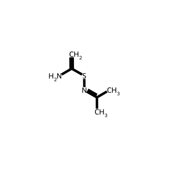 C=C(N)SN=C(C)C